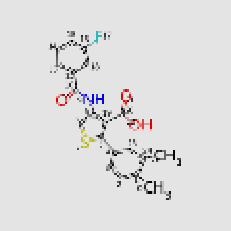 Cc1ccc(-c2scc(NC(=O)c3cccc(F)c3)c2C(=O)O)cc1C